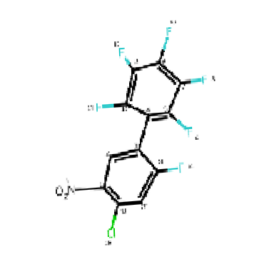 O=[N+]([O-])c1cc(-c2c(F)c(F)c(F)c(F)c2F)c(F)cc1Cl